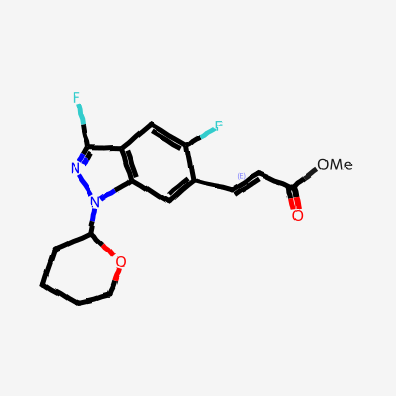 COC(=O)/C=C/c1cc2c(cc1F)c(F)nn2C1CCCCO1